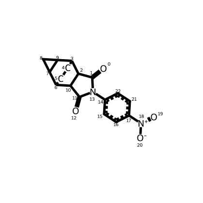 O=C1C2C3CCC(C4CC43)C2C(=O)N1c1ccc([N+](=O)[O-])cc1